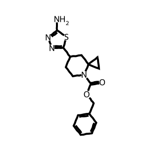 Nc1nnc(C2CCN(C(=O)OCc3ccccc3)C3(CC3)C2)s1